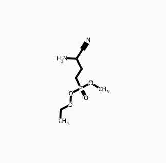 CCOOP(=O)(CCC(N)C#N)OC